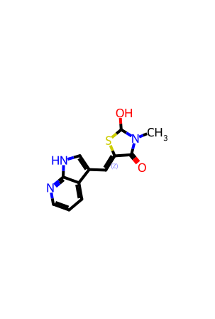 CN1C(=O)/C(=C/c2c[nH]c3ncccc23)SC1O